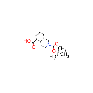 CC(C)(C)OC(=O)N1CCC2C(=CC=CC2C(=O)O)C1